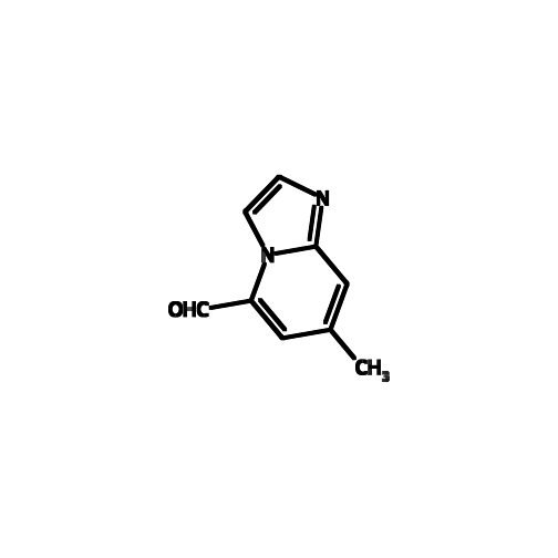 Cc1cc(C=O)n2ccnc2c1